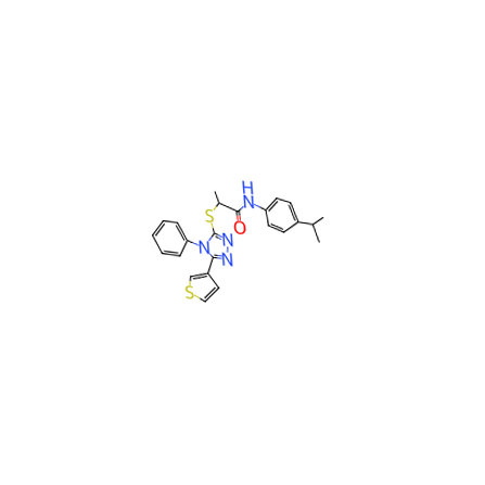 CC(Sc1nnc(-c2ccsc2)n1-c1ccccc1)C(=O)Nc1ccc(C(C)C)cc1